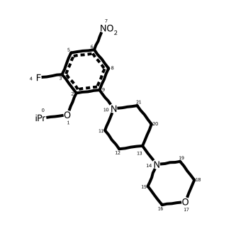 CC(C)Oc1c(F)cc([N+](=O)[O-])cc1N1CCC(N2CCOCC2)CC1